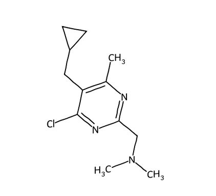 Cc1nc(CN(C)C)nc(Cl)c1CC1CC1